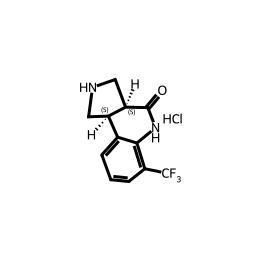 Cl.O=C1Nc2c(cccc2C(F)(F)F)[C@H]2CNC[C@@H]12